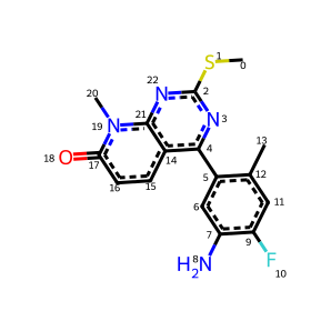 CSc1nc(-c2cc(N)c(F)cc2C)c2ccc(=O)n(C)c2n1